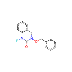 O=C1N(OCc2ccccc2)Cc2ccccc2N1F